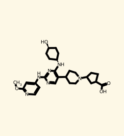 COc1cc(Nc2ncc(C3CCN(C4CCC(C(=O)O)C4)CC3)c(N[C@H]3CC[C@H](O)CC3)n2)ccn1